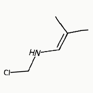 CC(C)=CNCCl